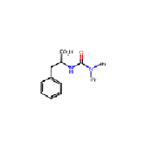 CC(C)N(C(=O)NC(Cc1ccccc1)C(=O)O)C(C)C